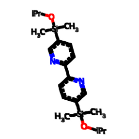 CC(C)O[Si](C)(C)c1ccc(-c2ccc([Si](C)(C)OC(C)C)cn2)nc1